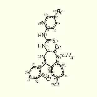 CN1C(=O)C(NC(=S)Nc2ccc(Br)cn2)N=C(c2ccccc2Cl)c2cc(Cl)ccc21